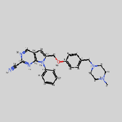 CN1CCN(Cc2ccc(OCc3cc4cnc(C#N)nc4n3-c3ccccc3)cc2)CC1